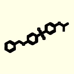 CC(C)Oc1ccc(S(=O)(=O)c2ccc(OCc3ccccc3)cc2)cc1